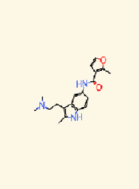 Cc1[nH]c2ccc(NC(=O)c3ccoc3C)cc2c1CCN(C)C